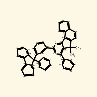 CC1(C)c2ccc3ccccc3c2-c2nc(-c3cccc(C4(c5ccccc5)c5ccccc5-c5ccccc54)c3)nc(-c3ccccc3)c21